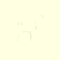 CC([O][Al])c1ccccc1.Cl